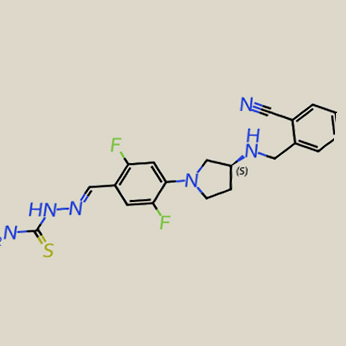 N#Cc1ccccc1CN[C@H]1CCN(c2cc(F)c(C=NNC(N)=S)cc2F)C1